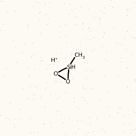 C[SiH]1OO1.[H+]